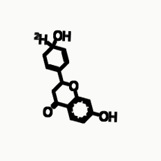 [2H]C1(O)C=CC(C2CC(=O)c3ccc(O)cc3O2)=CC1